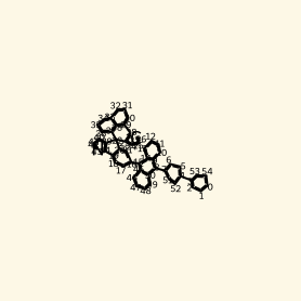 c1ccc(-c2ccc(-c3c4ccccc4c(-c4ccc5c(c4)C4(c6ccccc6-c6cccc7cccc4c67)c4cccnc4-5)c4ccccc34)cc2)cc1